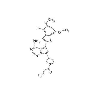 C=CC(=O)N1CCC(c2cc(-c3cc4c(F)c(OC)cc(OC)c4s3)c3c(N)ncnn23)C1